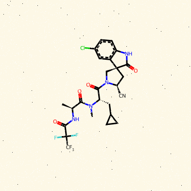 C[C@H](NC(=O)C(F)(F)C(F)(F)F)C(=O)N(C)[C@@H](CC1CC1)C(=O)N1C[C@]2(C[C@H]1C#N)C(=O)Nc1ccc(Cl)cc12